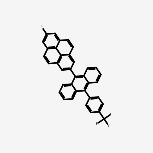 Fc1cc2ccc3cc(-c4c5ccccc5c(-c5ccc(C(F)(F)F)cc5)c5ccccc45)cc4ccc(c1)c2c34